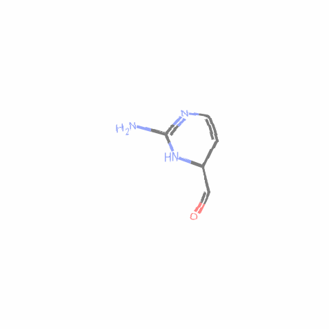 NC1=NC=CC(C=O)N1